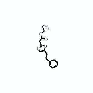 CCOC(=O)Cc1ncc(CCc2ccccc2)o1